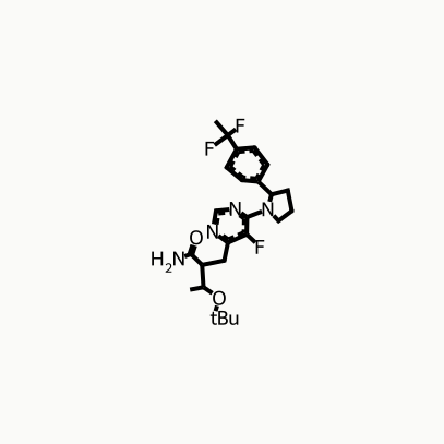 CC(OC(C)(C)C)C(Cc1ncnc(N2CCCC2c2ccc(C(C)(F)F)cc2)c1F)C(N)=O